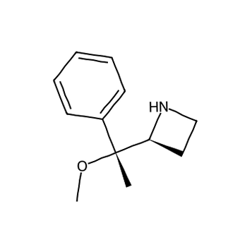 CO[C@](C)(c1ccccc1)[C@@H]1CCN1